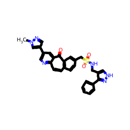 Cn1cc(-c2cnc3ccc4ccc(CS(=O)(=O)NCc5c[nH]nc5-c5ccccc5)cc4c(=O)c3c2)cn1